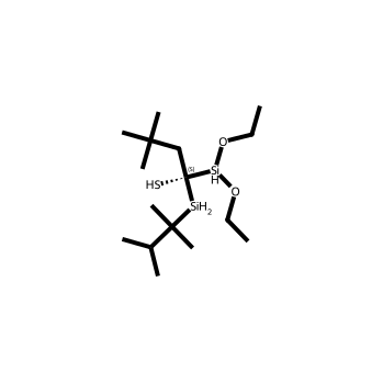 CCO[SiH](OCC)[C@](S)(CC(C)(C)C)[SiH2]C(C)(C)C(C)C